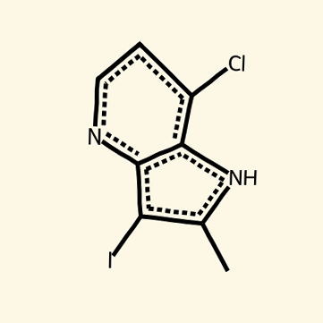 Cc1[nH]c2c(Cl)ccnc2c1I